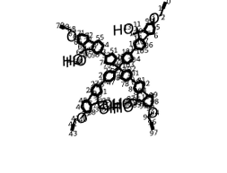 C#CCOc1ccc2c(c1)C(C)(CO)c1cc(-c3ccc(C(c4ccc(-c5ccc6c(c5)C(CO)(CO)c5cc(OCC#C)ccc5-6)cc4)(c4ccc(-c5ccc6c(c5)C(CO)(CO)c5cc(OCC#C)ccc5-6)cc4)c4ccc(-c5ccc6c(c5)C(CO)(CO)c5cc(OCC#C)ccc5-6)cc4)cc3)ccc1-2